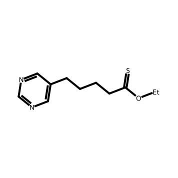 CCOC(=S)CCCCc1cncnc1